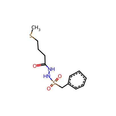 CSCCCC(=O)NNS(=O)(=O)Cc1ccccc1